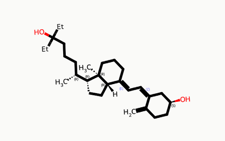 C=C1CC[C@H](O)C/C1=C/C=C1\CCC[C@]2(C)[C@@H]([C@H](C)CCCC(O)(CC)CC)CC[C@@H]12